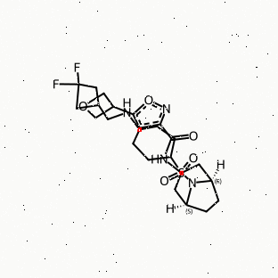 O=C(NC1C[C@H]2CC[C@@H](C1)N2S(=O)(=O)C1CCC(NCC2CC(F)(F)C2)CC1)c1cc(C2COC2)on1